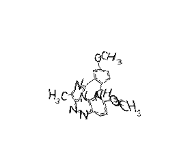 COc1ccc(C)c(-c2nc(C)c3nnc4ccc(OC)nc4n23)c1